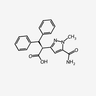 Cn1nc([C@@H](C(=O)O)C(c2ccccc2)c2ccccc2)cc1C(N)=O